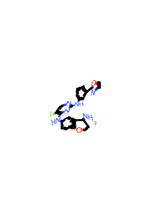 NC1CCOc2ccc(Nc3nc(Nc4cccc(-c5ncco5)c4)ncc3F)cc21